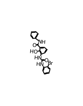 O=C(Nc1ccccc1Br)Nc1cccc(C(=O)Nc2ccccc2)c1O